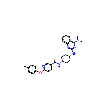 Cc1ccc(Oc2ccc(C(=O)N[C@H]3CC[C@@H](Nc4nc(N(C)C)c5ccccc5n4)CC3)cn2)cc1